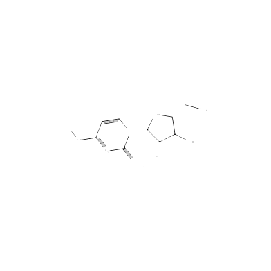 C=C1N=C(NO)C=CN1[C@@H]1O[C@H](CC(C)(C)C)C(O)[C@@H]1O